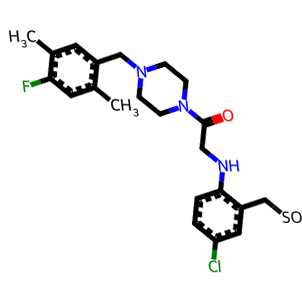 Cc1cc(CN2CCN(C(=O)CNc3ccc(Cl)cc3CS(=O)(=O)O)CC2)c(C)cc1F